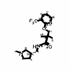 CN1CC[C@@H](CNC(=O)C(C)(C)COc2ncccc2C(F)(F)F)C1